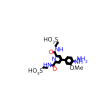 COc1cc(-c2cc(C(=O)NCCS(=O)(=O)O)nc(C(=O)NCCS(=O)(=O)O)c2)ccc1NN